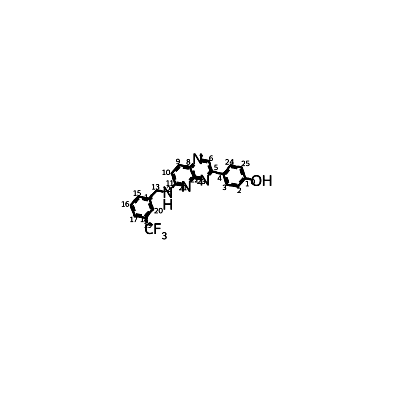 Oc1ccc(-c2cnc3ccc(NCc4cccc(C(F)(F)F)c4)nc3n2)cc1